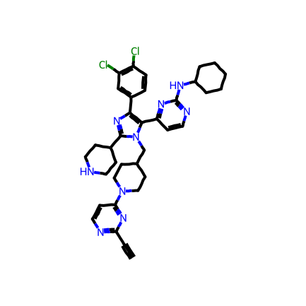 C#Cc1nccc(N2CCC(Cn3c(C4CCNCC4)nc(-c4ccc(Cl)c(Cl)c4)c3-c3ccnc(NC4CCCCC4)n3)CC2)n1